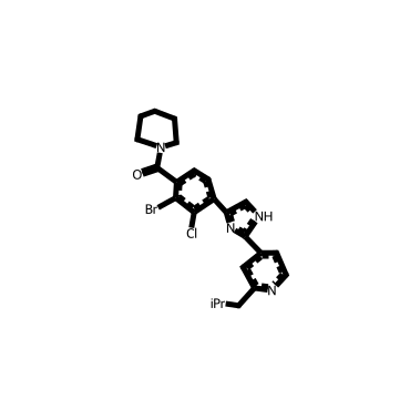 CC(C)Cc1cc(-c2nc(-c3ccc(C(=O)N4CCCCC4)c(Br)c3Cl)c[nH]2)ccn1